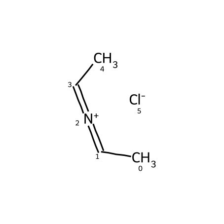 CC=[N+]=CC.[Cl-]